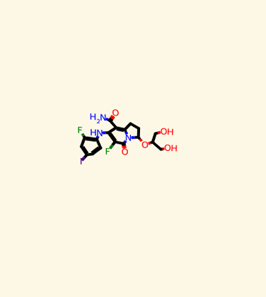 NC(=O)c1c(Nc2ccc(I)cc2F)c(F)c(=O)n2c1CCC2OC(CO)CO